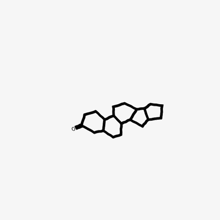 O=C1CCC2C(CCC3C2CCC2C4CCCC4CC23)C1